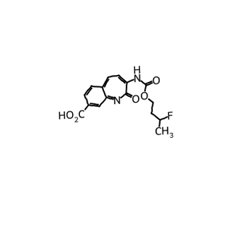 CC(F)CCOC(=O)Nc1ccc2ccc(C(=O)O)cc2nc1=O